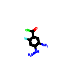 NNc1cc(F)c(C(=O)Cl)cc1N